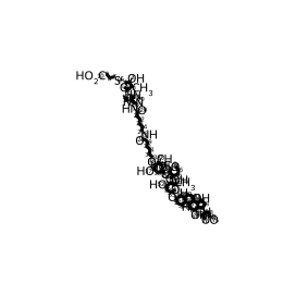 C[C@@H]1[C@H](O)[C@@H](CSCCCC(=O)O)O[C@H]1n1cnc2c(NC(=O)CCCCCNC(=O)CCCCCO[C@H]3[C@@H](O)CC(O[C@@H]4[C@@H](C)OCC[C@]4(O)O[C@H]4[C@@H](O)CC(O[C@@H]5CC[C@@]6(C)[C@H](CCC7[C@@H]6C[C@@H](O)[C@]6(C)[C@@H](C8=CC(=O)OC8)CC[C@]76O)C5)O[C@@H]4C)O[C@@H]3C)ncnc21